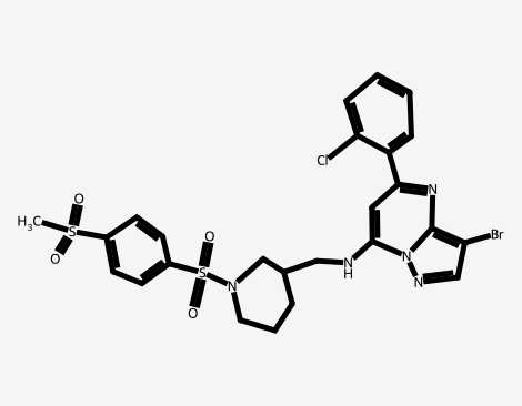 CS(=O)(=O)c1ccc(S(=O)(=O)N2CCCC(CNc3cc(-c4ccccc4Cl)nc4c(Br)cnn34)C2)cc1